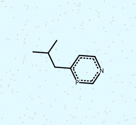 CC(C)Cc1ccncp1